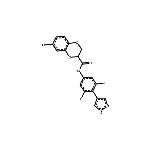 O=C(Nc1cc(F)c(-c2cn[nH]c2)c(F)c1)C1COc2ccc(Cl)cc2O1